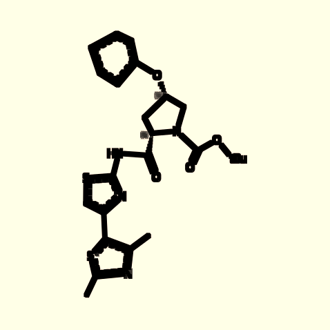 Cc1nc(C)c(-c2csc(NC(=O)[C@@H]3C[C@H](Oc4ccccc4)CN3C(=O)OC(C)(C)C)n2)s1